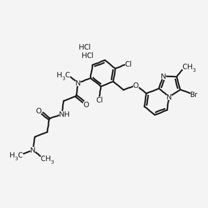 Cc1nc2c(OCc3c(Cl)ccc(N(C)C(=O)CNC(=O)CCN(C)C)c3Cl)cccn2c1Br.Cl.Cl